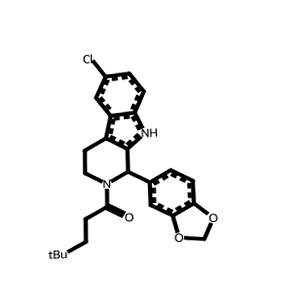 CC(C)(C)CCC(=O)N1CCc2c([nH]c3ccc(Cl)cc23)C1c1ccc2c(c1)OCO2